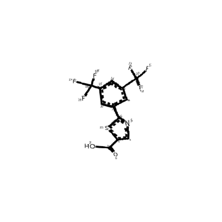 O=C(O)c1cnc(-c2cc(C(F)(F)F)cc(C(F)(F)F)c2)s1